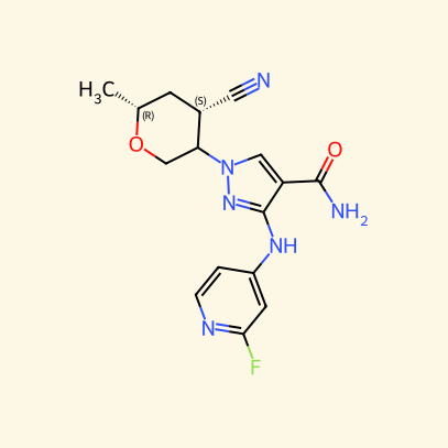 C[C@@H]1C[C@H](C#N)C(n2cc(C(N)=O)c(Nc3ccnc(F)c3)n2)CO1